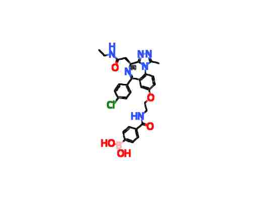 CCNC(=O)C[C@@H]1N=C(c2ccc(Cl)cc2)c2cc(OCCNC(=O)c3ccc(B(O)O)cc3)ccc2-n2c(C)nnc21